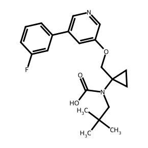 CC(C)(C)CN(C(=O)O)C1(COc2cncc(-c3cccc(F)c3)c2)CC1